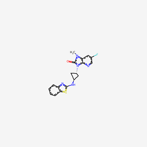 Cn1c(=O)n([C@H]2C[C@H](Nc3nc4ccccc4s3)C2)c2ncc(F)cc21